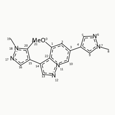 COc1cc(-c2cnn(C)c2)cn2ncc(-c3cnn(C)c3C)c12